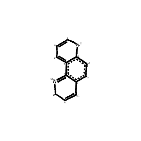 C1=C[N]c2ccc3c(c2=C1)=NCC=C3